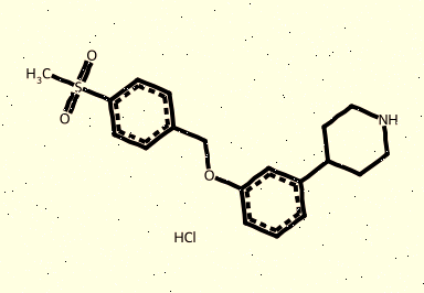 CS(=O)(=O)c1ccc(COc2cccc(C3CCNCC3)c2)cc1.Cl